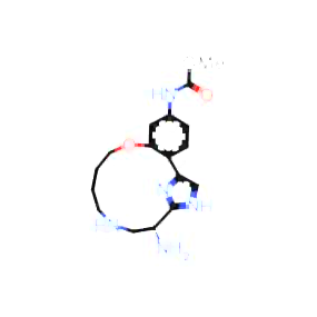 COC(=O)Nc1ccc2c(c1)OCCCCNC[C@H](N)c1nc-2c[nH]1